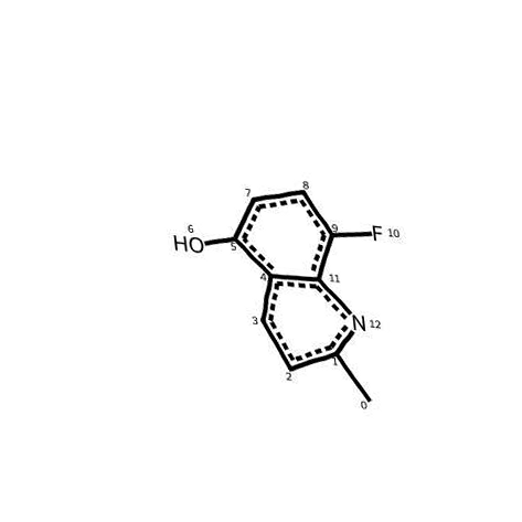 Cc1ccc2c(O)ccc(F)c2n1